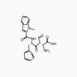 Cn1c(C(=O)N[C@@H](Cc2ccccc2)C(=O)[C@H](C=O)C(N)C(=O)O)cc2ccccc21